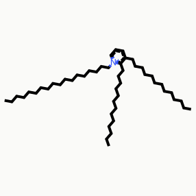 CCCCCCCCCCCCCCCCCC[n+]1cccc(CCCCCCCCCCCCC)c1CCCCCCCCCCCCC